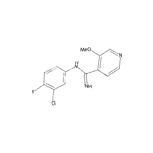 COc1cnccc1C(=N)Nc1ccc(F)c(Cl)c1